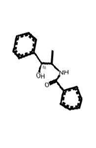 CC(NC(=O)c1ccccc1)[C@@H](O)c1ccccc1